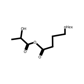 CCCCCCCCCC(=O)OC(=O)C(C)O